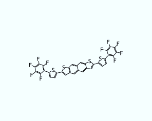 Fc1c(F)c(F)c(-c2ccc(-c3cc4cc5cc6cc(-c7ccc(-c8c(F)c(F)c(F)c(F)c8F)s7)sc6cc5cc4s3)s2)c(F)c1F